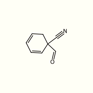 N#CC1(C=O)C=CC=CC1